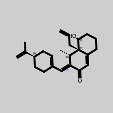 C=CC[C@@]12C(=CC(=O)/C(=C/C3=CC[C@H](C(=C)C)CC3)[C@@H]1C)CCC[C@@H]2O